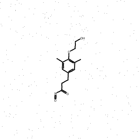 Cc1cc(CCC(=O)N=O)cc(C)c1OCCO